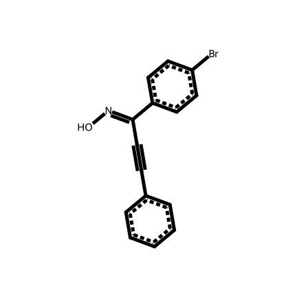 ON=C(C#Cc1ccccc1)c1ccc(Br)cc1